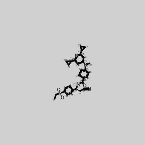 CCS(=O)(=O)c1ccc([C@H](CC#N)NC(=O)c2ccc(N(C)c3cc(C4CC4)nc(C4CC4)c3)cc2)cc1